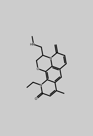 C=C1C=Cc2cc3c(C)cc(=O)n(CC)c3c3c2N1C(CNC)CO3